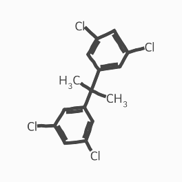 CC(C)(c1cc(Cl)cc(Cl)c1)c1cc(Cl)cc(Cl)c1